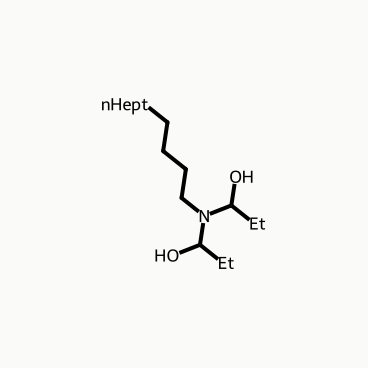 CCCCCCCCCCCN(C(O)CC)C(O)CC